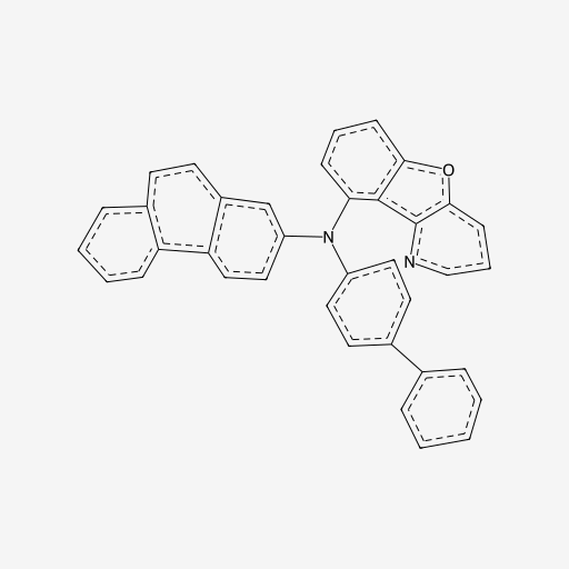 c1ccc(-c2ccc(N(c3ccc4c(ccc5ccccc54)c3)c3cccc4oc5cccnc5c34)cc2)cc1